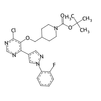 CC(C)(C)OC(=O)N1CCC(COc2c(Cl)ncnc2-c2cnn(-c3ccccc3F)c2)CC1